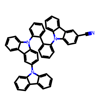 N#Cc1ccc2c(c1)c1ccccc1n2-c1ccccc1-c1ccccc1-n1c2ccccc2c2cc(-n3c4ccccc4c4ccccc43)ccc21